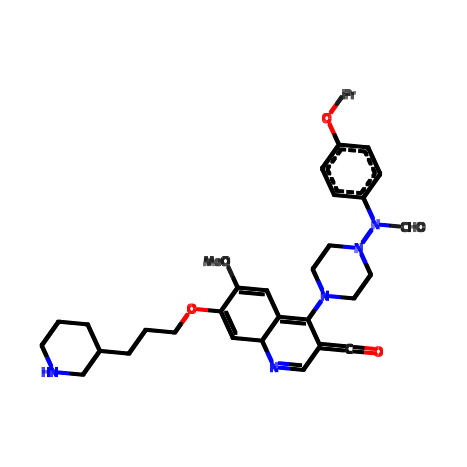 COC1=CC2=C(N3CCN(N(C=O)c4ccc(OC(C)C)cc4)CC3)C(=C=O)C=NC2C=C1OCCCC1CCCNC1